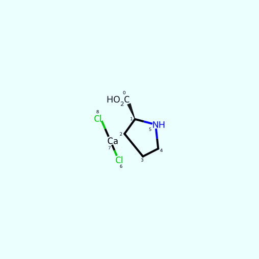 O=C(O)[C@@H]1CCCN1.[Cl][Ca][Cl]